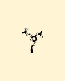 C#CCO[C@@H]1CC(OC(C)=O)[C@@H](COC(C)=O)O1